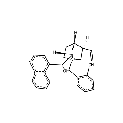 C=C[C@H]1C[N+]2(Cc3ccccc3C#N)CC[C@H]1C[C@H]2[C@H](O)c1ccnc2ccccc12